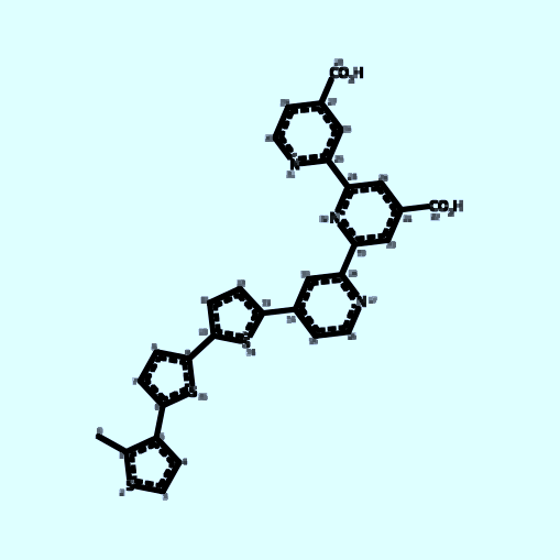 Cc1sccc1-c1ccc(-c2ccc(-c3ccnc(-c4cc(C(=O)O)cc(-c5cc(C(=O)O)ccn5)n4)c3)s2)s1